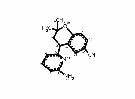 CC1(C)CC(c2cccc(N)n2)c2cc(C#N)ccc2O1